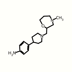 CN1CCCOC(CN2CCC(c3ccc(N)cc3)CC2)C1